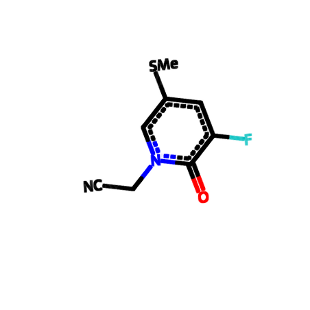 CSc1cc(F)c(=O)n(CC#N)c1